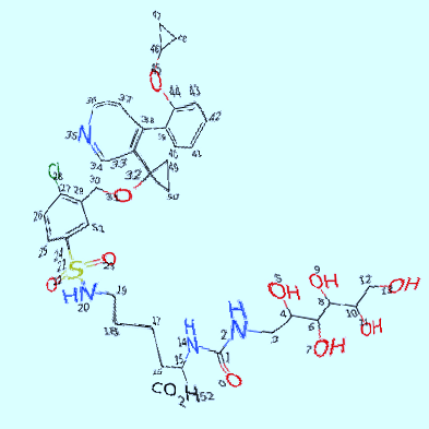 O=C(NCC(O)C(O)C(O)C(O)CO)NC(CCCCNS(=O)(=O)c1ccc(Cl)c(COC2(c3cnccc3-c3ccccc3OC3CC3)CC2)c1)C(=O)O